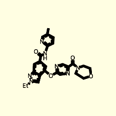 CCn1cc2c(Oc3cnc(C(=O)N4CCOCC4)cn3)cc(C(=O)Nc3ccc(C)cn3)cc2n1